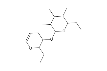 CCC1OC=CCC1OC1OC(CC)C(C)C(C)C1C